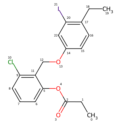 CCC(=O)Oc1cccc(Cl)c1COc1ccc(CC)c(I)c1